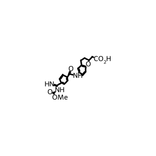 COC(=O)NC(=N)c1ccc(C(=O)Nc2ccc3c(c2)CCC(CC(=O)O)O3)cc1